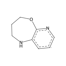 [c]1cnc2c(c1)NCCCO2